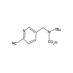 CC(C)(C)N(Cc1ccc(C#N)nc1)C(=O)O